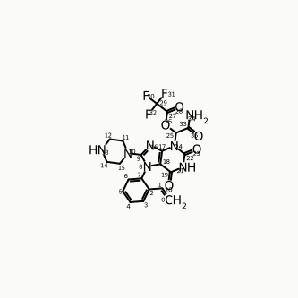 C=Cc1ccccc1-n1c(N2CCNCC2)nc2c1c(=O)[nH]c(=O)n2C(OC(=O)C(F)(F)F)C(N)=O